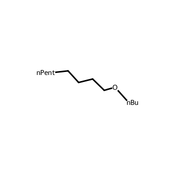 [CH2]CCCCCCCCOCCC[CH2]